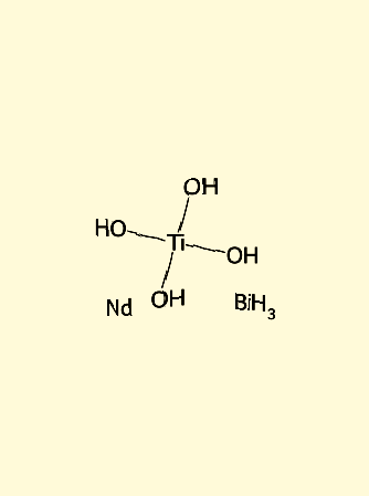 [BiH3].[Nd].[OH][Ti]([OH])([OH])[OH]